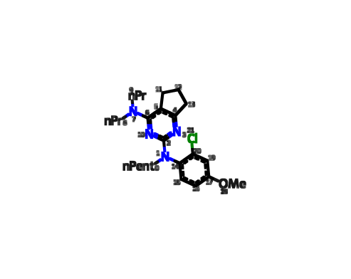 CCCCCN(c1nc2c(c(N(CCC)CCC)n1)CCC2)c1ccc(OC)cc1Cl